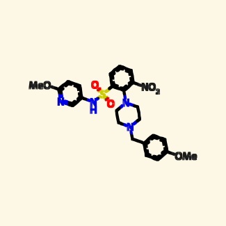 COc1ccc(CN2CCN(c3c([N+](=O)[O-])cccc3S(=O)(=O)Nc3ccc(OC)nc3)CC2)cc1